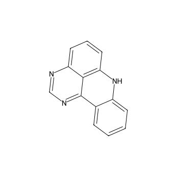 c1ccc2c(c1)Nc1cccc3ncnc-2c13